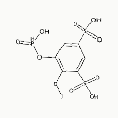 O=[PH](O)Oc1cc(S(=O)(=O)O)cc(S(=O)(=O)O)c1OI